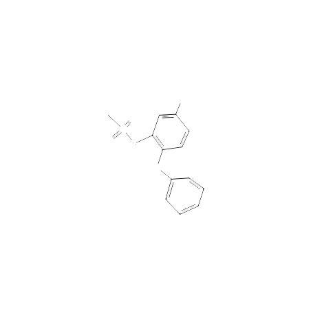 CS(=O)(=O)Nc1cc(O)ccc1Oc1ccccc1